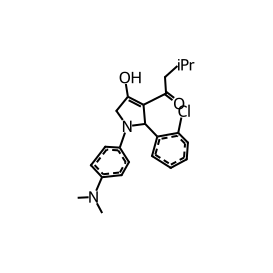 CC(C)CC(=O)C1=C(O)CN(c2ccc(N(C)C)cc2)C1c1ccccc1Cl